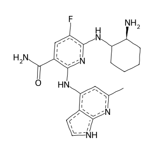 Cc1cc(Nc2nc(NC3CCCC[C@@H]3N)c(F)cc2C(N)=O)c2cc[nH]c2n1